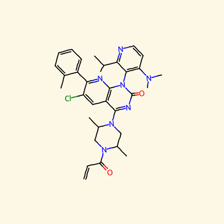 C=CC(=O)N1CC(C)N(c2nc(=O)n(-c3c(N(C)C)ccnc3C(C)C)c3nc(-c4ccccc4C)c(Cl)cc23)CC1C